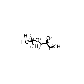 CCC(=O)COC(C)(C)O